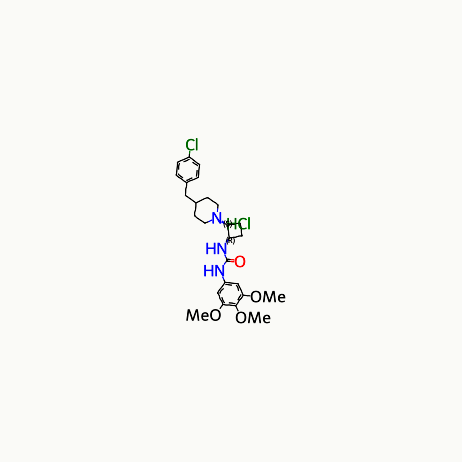 COc1cc(NC(=O)N[C@@H]2CC[C@@H]2N2CCC(Cc3ccc(Cl)cc3)CC2)cc(OC)c1OC.Cl